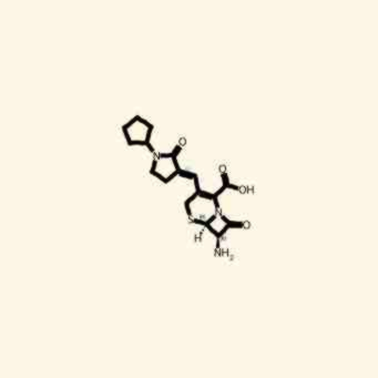 N[C@@H]1C(=O)N2C(C(=O)O)=C(/C=C3\CCN(C4CCCC4)C3=O)CS[C@H]12